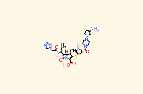 C[C@@H](NC(=O)Cn1cnnn1)[C@H]1C(=O)N2C(C(=O)O)=C(S[C@@H]3CN[C@H](C(=O)N4CCN(N5CC[C@@H](N)C5)CC4)C3)[C@H](C)[C@H]12